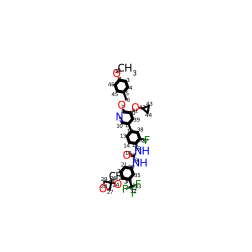 COc1ccc(COc2ncc(-c3ccc(NC(=O)Nc4ccc(OC5(C)COC5)c(C(F)(F)F)c4)c(F)c3)cc2OC2CC2)cc1